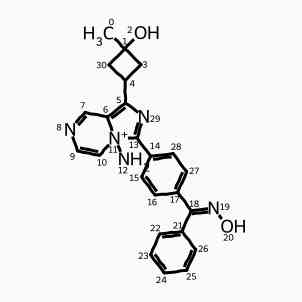 CC1(O)CC(C2=C3C=NC=C[N+]3(N)C(c3ccc(C(=NO)c4ccccc4)cc3)=N2)C1